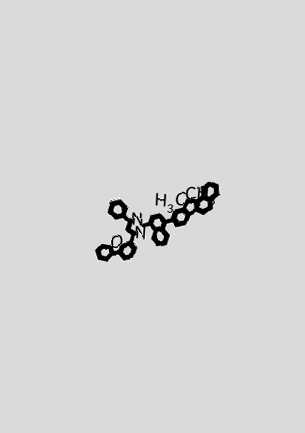 CC1(C)c2cc(-c3ccc(-c4nc(-c5ccccc5)cc(-c5cccc6c5oc5ccccc56)n4)c4ccccc34)ccc2-c2ccc3ccccc3c21